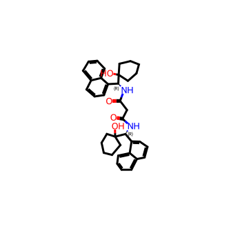 O=C(CC(=O)N[C@H](c1cccc2ccccc12)C1(O)CCCCC1)N[C@H](c1cccc2ccccc12)C1(O)CCCCC1